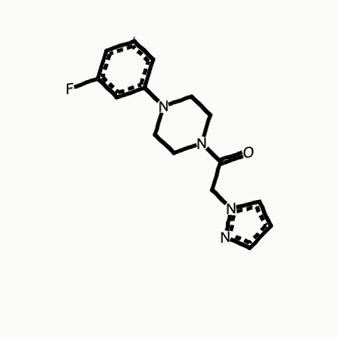 O=C(Cn1cccn1)N1CCN(c2c[c]cc(F)c2)CC1